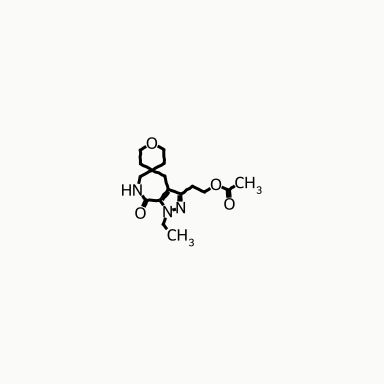 CCn1nc(CCOC(C)=O)c2c1C(=O)NCC1(CCOCC1)C2